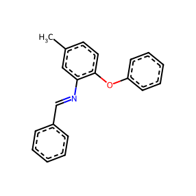 Cc1ccc(Oc2ccccc2)c(N=Cc2ccccc2)c1